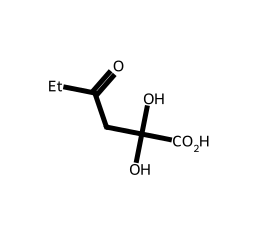 CCC(=O)CC(O)(O)C(=O)O